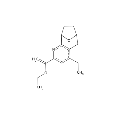 C=C(OCC)c1cc(CC)c2c(n1)C1CCC(C2)O1